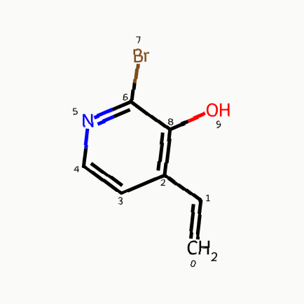 C=Cc1ccnc(Br)c1O